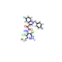 C=C/C(Cl)=C(NC(=O)C(=O)c1cn(Cc2ccc(F)cc2)c2ccc(F)cc12)\C(Cl)=C/N